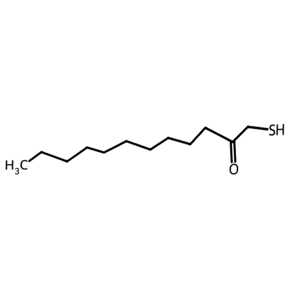 CCCCCCCCCCC(=O)CS